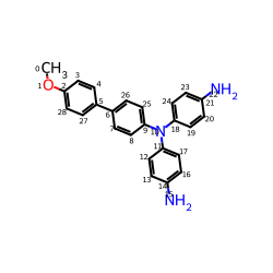 COc1ccc(-c2ccc(N(c3ccc(N)cc3)c3ccc(N)cc3)cc2)cc1